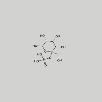 O=P(O)(O)O[C@@]1(CO)O[C@H](O)[C@H](O)[C@H](O)[C@@H]1O